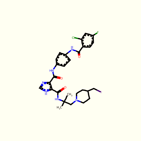 CC(C)(CN1CCC(CI)CC1)NC(=O)c1[nH]cnc1C(=O)Nc1ccc(NC(=O)c2ccc(F)cc2Cl)cc1